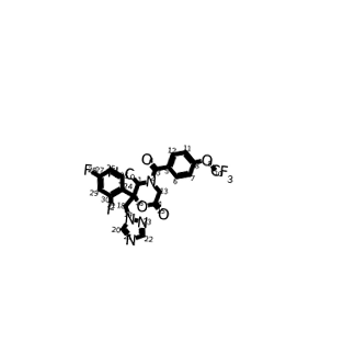 CC1N(C(=O)c2ccc(OC(F)(F)F)cc2)CC(=O)OC1(Cn1cncn1)c1ccc(F)cc1F